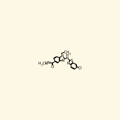 CCNC(=O)c1ccc2c(c1)nc(Nc1nc3ccc(Cl)cc3s1)n2CC